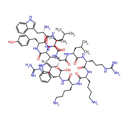 CC(C)C[C@H](NC(=O)[C@H](Cc1c[nH]c2ccccc12)NC(=O)[C@@H](NC(=O)[C@H](Cc1ccc(O)cc1)NC(=O)[C@@H](NC(=O)[C@H](CC(C)C)NC(=O)[C@@H](N)Cc1c[nH]c2ccccc12)C(C)C)C(C)C)C(=O)N[C@@H](CCCNC(=N)N)C(=O)N[C@@H](CCCCN)C(=O)N[C@@H](CCCCN)C(=O)N[C@@H](CCCNC(=N)N)C(=O)O